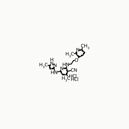 Cc1ccc(OCCNc2nc(Nc3cc(C)[nH]n3)cc(C)c2C#N)c(C)n1.Cl.Cl